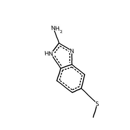 CSc1ccc2[nH]c(N)nc2c1